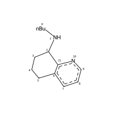 CCCCNC1CCCc2cccnc21